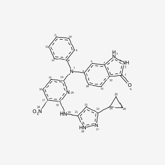 O=c1[nH][nH]c2cc(N(c3ccccc3)c3ccc([N+](=O)[O-])c(Nc4cc(C5CC5)n[nH]4)n3)ccc12